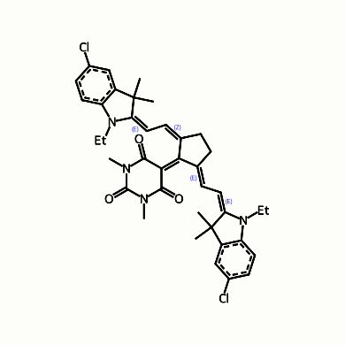 CCN1/C(=C/C=C2/CC/C(=C\C=C3\N(CC)c4ccc(Cl)cc4C3(C)C)C2=C2C(=O)N(C)C(=O)N(C)C2=O)C(C)(C)c2cc(Cl)ccc21